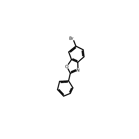 Brc1ccc2nc(-c3ccccc3)oc2c1